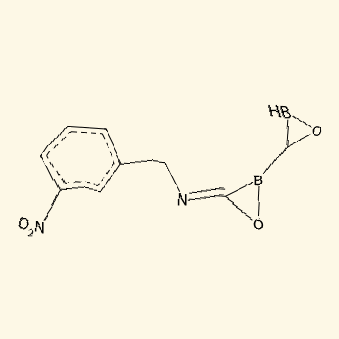 O=[N+]([O-])c1cccc(C/N=C2/OB2C2BO2)c1